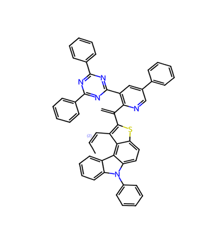 C=C(c1ncc(-c2ccccc2)cc1-c1nc(-c2ccccc2)nc(-c2ccccc2)n1)c1sc2ccc3c(c4ccccc4n3-c3ccccc3)c2c1/C=C\C